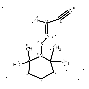 CC1(C)CCCC(C)(C)N1SN=C(Cl)C#N